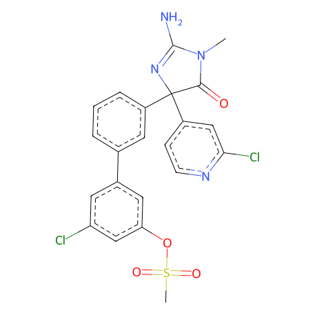 CN1C(=O)C(c2cccc(-c3cc(Cl)cc(OS(C)(=O)=O)c3)c2)(c2ccnc(Cl)c2)N=C1N